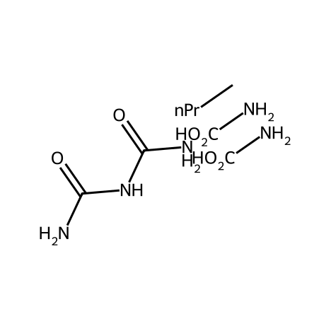 CCCC.NC(=O)NC(N)=O.NC(=O)O.NC(=O)O